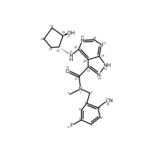 CN(Cc1cc(F)ccc1C#N)C(=O)c1n[nH]c2ncnc(N[C@@H]3CCC[C@H]3O)c12